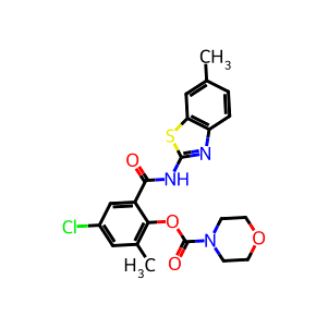 Cc1ccc2nc(NC(=O)c3cc(Cl)cc(C)c3OC(=O)N3CCOCC3)sc2c1